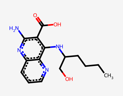 CCCCC(CO)Nc1c(C(=O)O)c(N)nc2cccnc12